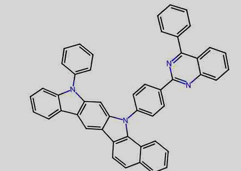 c1ccc(-c2nc(-c3ccc(-n4c5cc6c(cc5c5ccc7ccccc7c54)c4ccccc4n6-c4ccccc4)cc3)nc3ccccc23)cc1